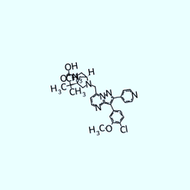 COc1cc(-c2c(-c3ccncc3)nn3c(CN4C[C@@]5(C(C)(C)C)C[C@H]4CN5C(=O)O)ccnc23)ccc1Cl